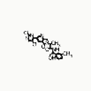 Cc1cccc([C@@H](CO)NC(=O)C(C)N2Cc3ncc(-c4nc(Cl)ncc4Cl)cc3C2=O)c1